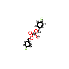 O=C(OCc1ccc(F)cc1)C(=O)OCc1ccc(F)cc1